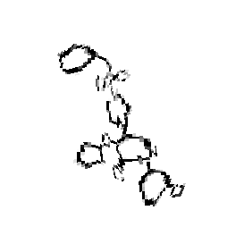 O=c1c(OC2CCCC2)c(N2CCN(S(=O)(=O)Cc3ccccc3)CC2)cnn1-c1cccc(Cl)c1